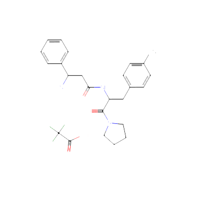 N#Cc1ccc(CC(NC(=O)CC(N)c2ccccc2)C(=O)N2CCCC2)cc1.O=C(O)C(F)(F)F